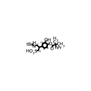 CCCC(C)(C)C(=O)Oc1ccc(C(CNC(C)(C)C)CS(=O)(=O)O)cc1O